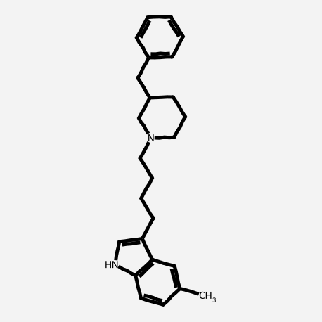 Cc1ccc2[nH]cc(CCCCN3CCCC(Cc4ccccc4)C3)c2c1